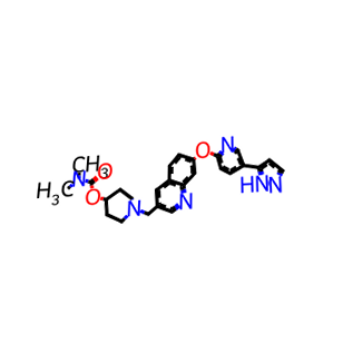 CN(C)C(=O)OC1CCN(Cc2cnc3cc(Oc4ccc(-c5ccn[nH]5)cn4)ccc3c2)CC1